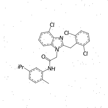 Cc1ccc(C(C)C)cc1NC(=O)Cn1c(Cc2c(Cl)cccc2Cl)nc2c(Cl)cccc21